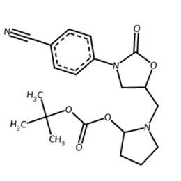 CC(C)(C)OC(=O)OC1CCCN1CC1CN(c2ccc(C#N)cc2)C(=O)O1